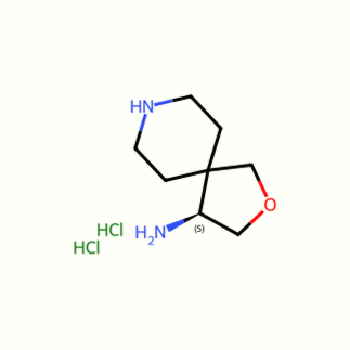 Cl.Cl.N[C@@H]1COCC12CCNCC2